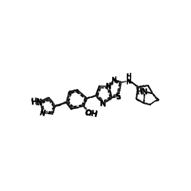 Oc1cc(-c2cn[nH]c2)ccc1-c1cn2nc(NC3CC4CCC(C3)N4)sc2n1